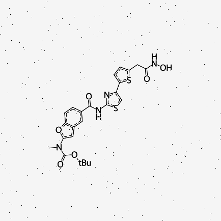 CN(C(=O)OC(C)(C)C)c1cc2cc(C(=O)Nc3nc(-c4ccc(CC(=O)NO)s4)cs3)ccc2o1